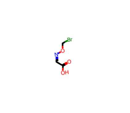 O=C(O)/C=N\OCBr